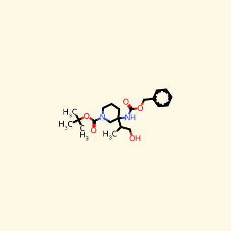 CC(CO)C1(NC(=O)OCc2ccccc2)CCCN(C(=O)OC(C)(C)C)C1